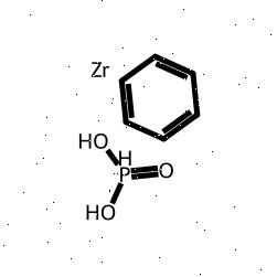 O=[PH](O)O.[Zr].c1ccccc1